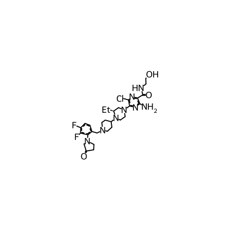 CC[C@H]1CN(c2nc(N)c(C(=O)NCCO)nc2Cl)CCN1C1CCN(Cc2ccc(F)c(F)c2N2CCC(=O)C2)CC1